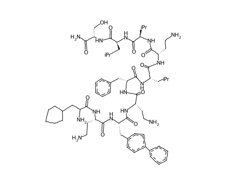 CC(C)C[C@H](NC(=O)[C@@H](Cc1ccccc1)NC(=O)[C@H](CCN)NC(=O)[C@H](Cc1ccc(-c2ccccc2)cc1)NC(=O)[C@H](CCN)NC(=O)C(N)CC1CCCCC1)C(=O)N[C@@H](CCN)C(=O)N[C@@H](C(=O)N[C@@H](CC(C)C)C(=O)N[C@@H](CO)C(N)=O)C(C)C